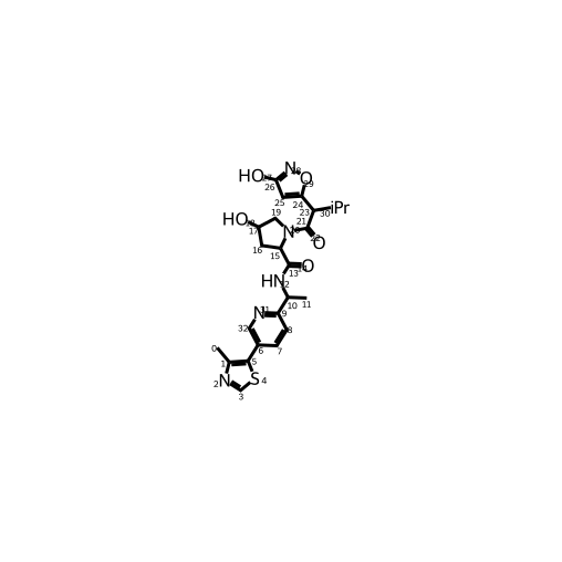 Cc1ncsc1-c1ccc(C(C)NC(=O)C2CC(O)CN2C(=O)C(c2cc(O)no2)C(C)C)nc1